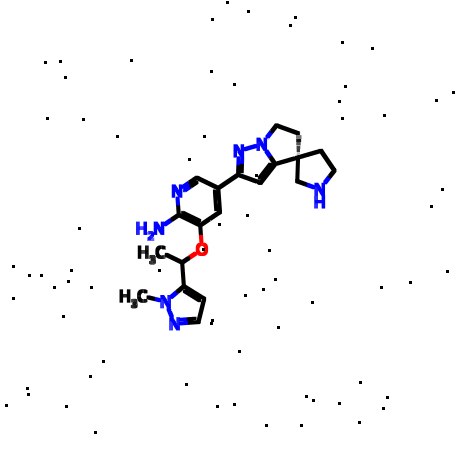 CC(Oc1cc(-c2cc3n(n2)CC[C@@]32CCNC2)cnc1N)c1ccnn1C